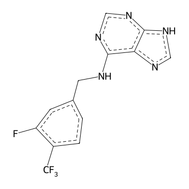 Fc1cc(CNc2ncnc3[nH]cnc23)ccc1C(F)(F)F